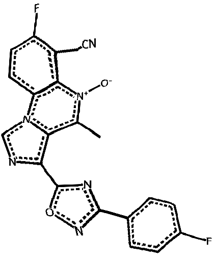 Cc1c2c(-c3nc(-c4ccc(F)cc4)no3)ncn2c2ccc(F)c(C#N)c2[n+]1[O-]